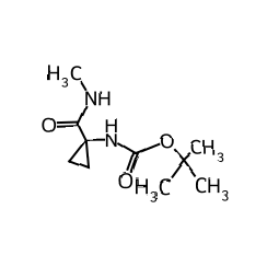 CNC(=O)C1(NC(=O)OC(C)(C)C)CC1